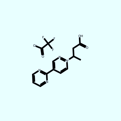 CC(CC(=O)O)[n+]1ccc(-c2ncccn2)cn1.O=C([O-])C(F)(F)F